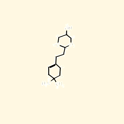 CC1(C)CC=C(CCC2OCC(O)CO2)CC1